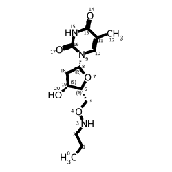 CCCNOC[C@H]1O[C@@H](n2cc(C)c(=O)[nH]c2=O)C[C@@H]1O